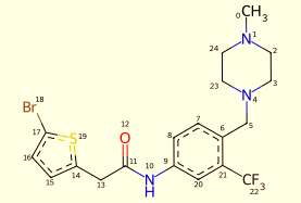 CN1CCN(Cc2ccc(NC(=O)Cc3ccc(Br)s3)cc2C(F)(F)F)CC1